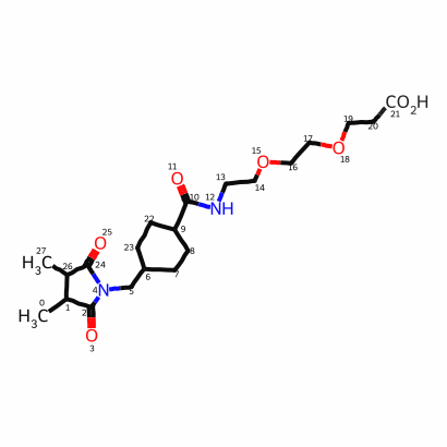 CC1C(=O)N(CC2CCC(C(=O)NCCOCCOCCC(=O)O)CC2)C(=O)C1C